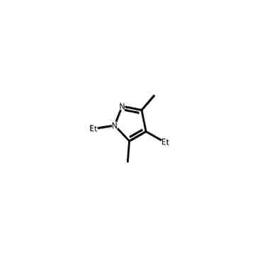 CCc1c(C)nn(CC)c1C